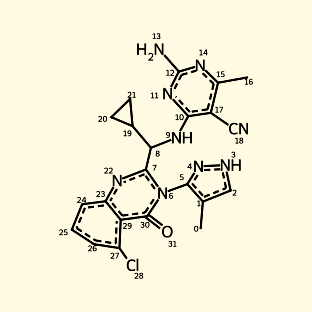 Cc1c[nH]nc1-n1c(C(Nc2nc(N)nc(C)c2C#N)C2CC2)nc2cccc(Cl)c2c1=O